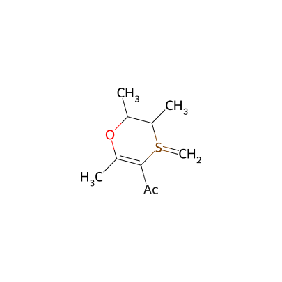 C=S1C(C(C)=O)=C(C)OC(C)C1C